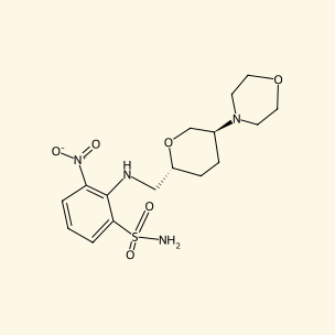 NS(=O)(=O)c1cccc([N+](=O)[O-])c1NC[C@H]1CC[C@H](N2CCOCC2)CO1